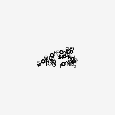 NC(=O)c1ccc(-n2ccnc2)cc1C(Cc1ccc(F)cc1)C(=O)NC12CCCC1OCC2=O.NC(Cc1ccc(F)cc1)C(=O)NC12CCCC1OCC2=O.O=C(NC(Cc1ccc(F)cc1)C(=O)NC12CCCC1OCC2=O)c1ccc(-c2cccs2)cc1